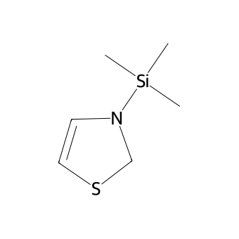 C[Si](C)(C)N1C=CSC1